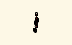 C=CC(=O)OCCCCCCCCCOCC#Cc1ccc(C(=O)Oc2ccc(OC(=O)C34CCC(OCCCCCCCCCCCOC)(CC3)C4)cc2)cc1